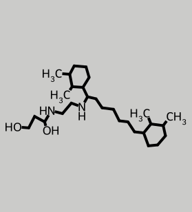 CC1CCCC(CCCCCCC(NCCNC(O)CCO)C2CCCC(C)C2C)C1C